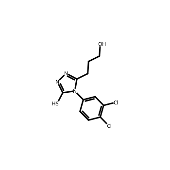 OCCCc1nnc(S)n1-c1ccc(Cl)c(Cl)c1